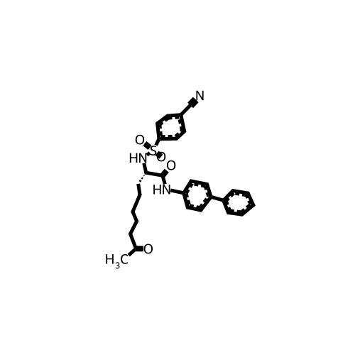 CC(=O)CCCCC[C@H](NS(=O)(=O)c1ccc(C#N)cc1)C(=O)Nc1ccc(-c2ccccc2)cc1